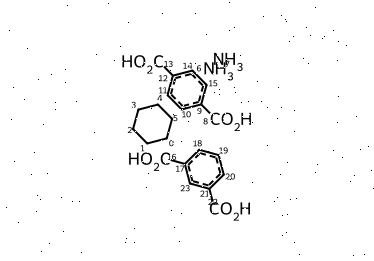 C1CCCCC1.N.N.O=C(O)c1ccc(C(=O)O)cc1.O=C(O)c1cccc(C(=O)O)c1